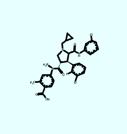 Cc1cc(N(P)C(=O)[C@@H]2CN(CC3CC3)C(C(=O)Nc3cccc(Cl)c3)[C@H]2c2cccc(Cl)c2F)ccc1C(=O)O